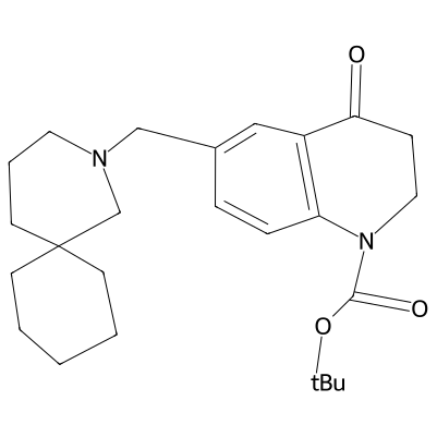 CC(C)(C)OC(=O)N1CCC(=O)c2cc(CN3CCCC4(CCCCC4)C3)ccc21